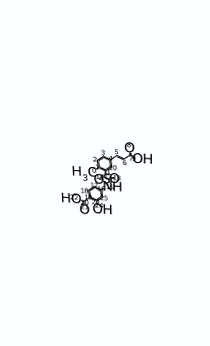 Cc1ccc(/C=C/C(=O)O)cc1S(=O)(=O)Nc1ccc(C(=O)O)c(O)c1